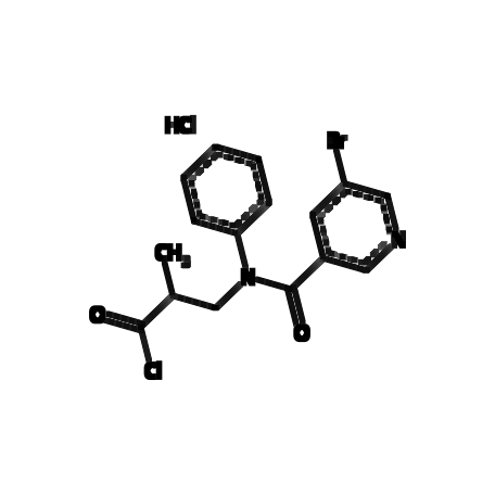 CC(CN(C(=O)c1cncc(Br)c1)c1ccccc1)C(=O)Cl.Cl